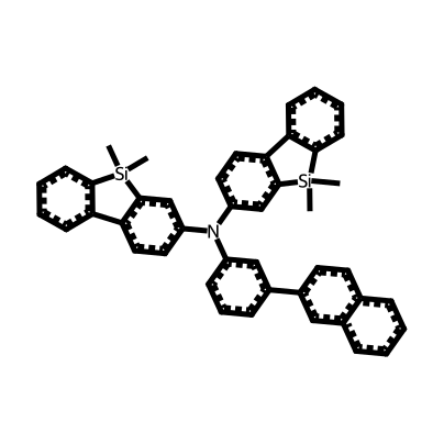 C[Si]1(C)c2ccccc2-c2ccc(N(c3cccc(-c4ccc5ccccc5c4)c3)c3ccc4c(c3)[Si](C)(C)c3ccccc3-4)cc21